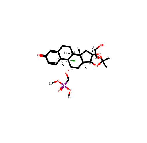 CCOP(=O)(CO[C@H]1C[C@@]2(C)[C@@H](C[C@H]3OC(C)(C)O[C@]32C(=O)CO)[C@@H]2CCC3=CC(=O)C=C[C@]3(C)[C@@]12F)OCC